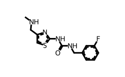 CNCc1csc(NC(=O)NCc2cccc(F)c2)n1